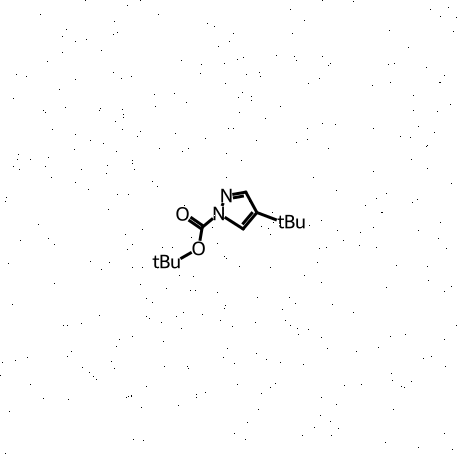 CC(C)(C)OC(=O)n1cc(C(C)(C)C)cn1